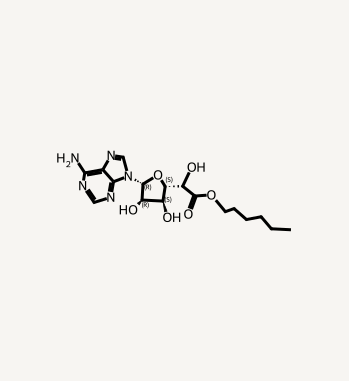 CCCCCCOC(=O)C(O)[C@H]1O[C@@H](n2cnc3c(N)ncnc32)[C@H](O)[C@@H]1O